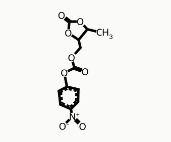 CC1OC(=O)OC1COC(=O)Oc1ccc([N+](=O)[O-])cc1